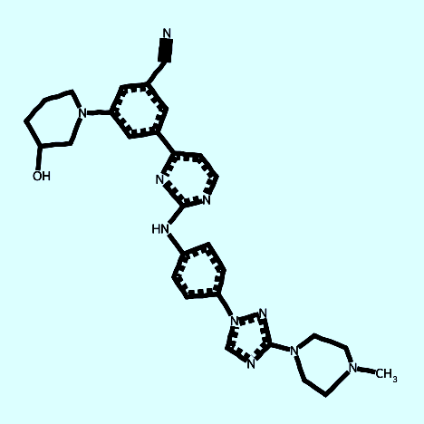 CN1CCN(c2ncn(-c3ccc(Nc4nccc(-c5cc(C#N)cc(N6CCCC(O)C6)c5)n4)cc3)n2)CC1